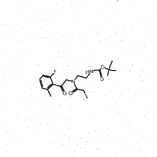 CCC(=O)N(CCNC(=O)OC(C)(C)C)CC(=O)c1c(C)cccc1F